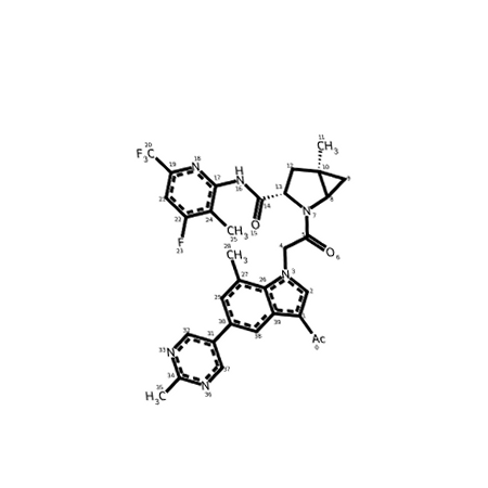 CC(=O)c1cn(CC(=O)N2C3C[C@]3(C)C[C@H]2C(=O)Nc2nc(C(F)(F)F)cc(F)c2C)c2c(C)cc(-c3cnc(C)nc3)cc12